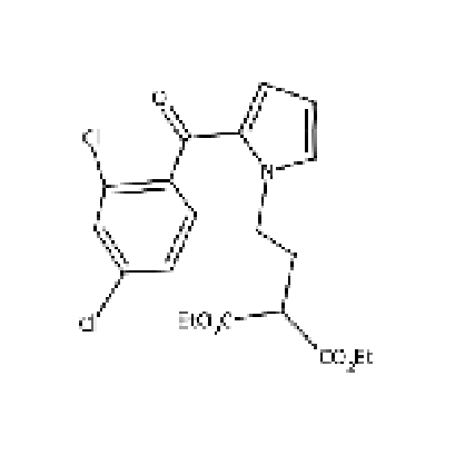 CCOC(=O)C(CCn1cccc1C(=O)c1ccc(Cl)cc1Cl)C(=O)OCC